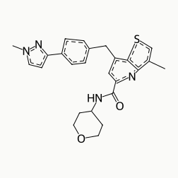 Cc1csc2c(Cc3ccc(-c4ccn(C)n4)cc3)cc(C(=O)NC3CCOCC3)nc12